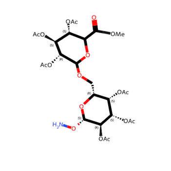 COC(=O)C1OC(OC[C@H]2O[C@@H](ON)[C@H](OC(C)=O)[C@@H](OC(C)=O)[C@H]2OC(C)=O)[C@H](OC(C)=O)[C@@H](OC(C)=O)[C@@H]1OC(C)=O